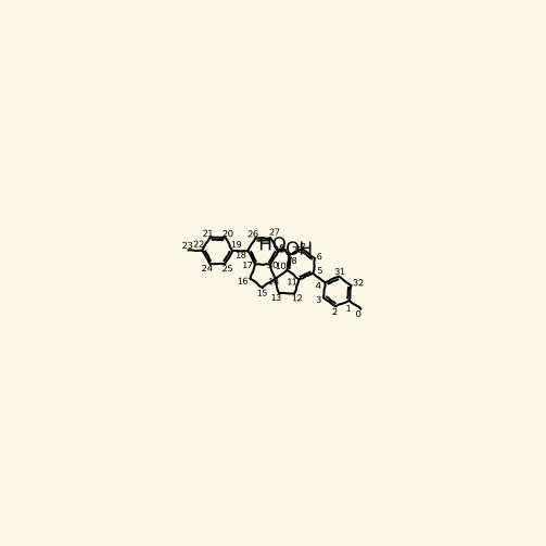 Cc1ccc(-c2ccc(O)c3c2CCC32CCc3c(-c4ccc(C)cc4)ccc(O)c32)cc1